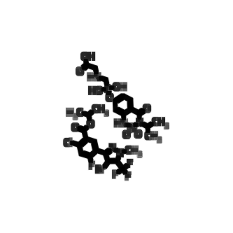 CC(C)N1C(=O)c2ccccc2NS1(=O)=O.CC(C)OC(=O)c1cc(-c2nn(C)c(C(F)(F)F)c2Br)c(F)cc1Cl.O=C(O)CNCP(=O)(O)O